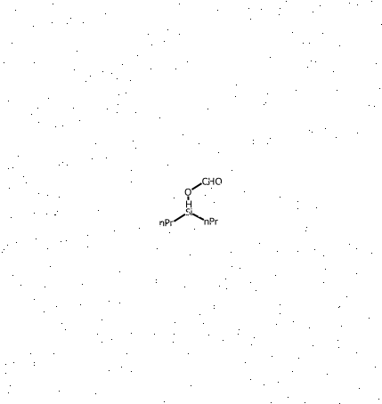 CCC[SiH](CCC)OC=O